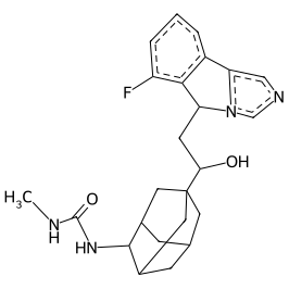 CNC(=O)NC1C2CC3CC1CC(C(O)CC1c4c(F)cccc4-c4cncn41)(C3)C2